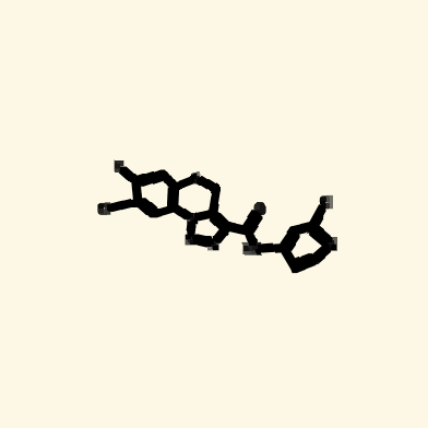 O=C(Nc1ccnc(Cl)c1)c1nnn2c1CSc1cc(F)c(Cl)cc1-2